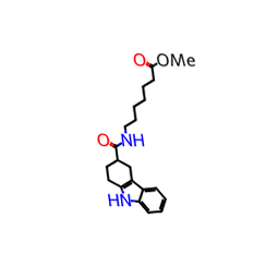 COC(=O)CCCCCCNC(=O)C1CCc2[nH]c3ccccc3c2C1